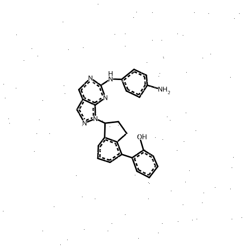 Nc1ccc(Nc2ncc3cnn(C4CCc5c(-c6ccccc6O)cccc54)c3n2)cc1